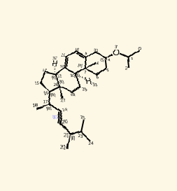 CC(C)O[C@H]1CC[C@@]2(C)C(=CC=C3[C@@H]4CC[C@H]([C@H](C)/C=C/[C@H](C)C(C)C)[C@@]4(C)CC[C@@H]32)C1